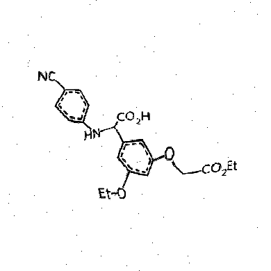 CCOC(=O)COc1cc(OCC)cc(C(Nc2ccc(C#N)cc2)C(=O)O)c1